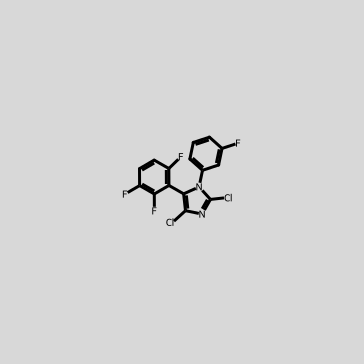 Fc1cccc(-n2c(Cl)nc(Cl)c2-c2c(F)ccc(F)c2F)c1